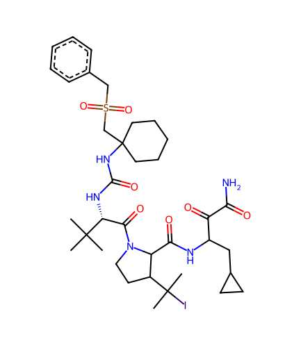 CC(C)(I)C1CCN(C(=O)[C@@H](NC(=O)NC2(CS(=O)(=O)Cc3ccccc3)CCCCC2)C(C)(C)C)C1C(=O)NC(CC1CC1)C(=O)C(N)=O